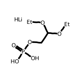 CCOC(COP(=O)(O)O)OCC.[LiH]